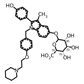 Cc1c(-c2ccc(O)cc2)n(Cc2ccc(OCCN3CCCCC3)cc2)c2ccc(OC3O[C@H](C(=O)O)[C@@H](O)[C@H](O)[C@H]3O)cc12